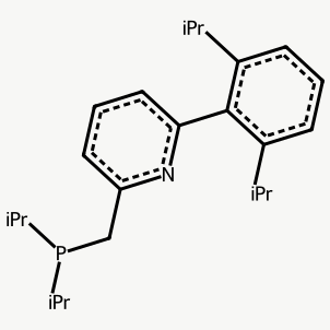 CC(C)c1cccc(C(C)C)c1-c1cccc(CP(C(C)C)C(C)C)n1